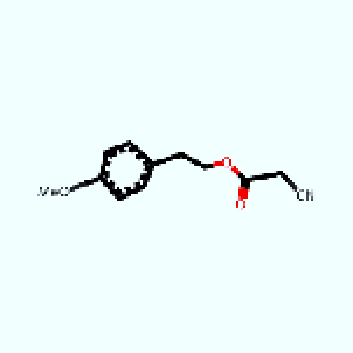 COc1ccc(CCOC(=O)CC#N)cc1